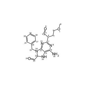 COCCC([S+]=O)c1nc(N)c2c(n1)N(Cc1ccccc1)C(C=O)N2